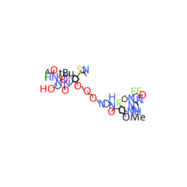 COc1cc(C(=O)NC2CCN(CCOCCOCCOc3cc(-c4scnc4C)ccc3CNC(=O)[C@@H]3C[C@@H](O)CN3C(=O)[C@@H](NC(=O)C3(F)CC3)C(C)(C)C)CC2)c(F)cc1Nc1ncc2c(n1)N(C1CCCC1)CC(F)(F)C(=O)N2C